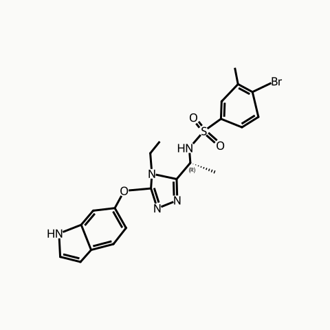 CCn1c(Oc2ccc3cc[nH]c3c2)nnc1[C@@H](C)NS(=O)(=O)c1ccc(Br)c(C)c1